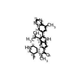 Cc1cc(-c2[nH]c3cc(C(=O)N(C)[C@H]4CCNC[C@@H]4F)sc3c2C(C)C)cn2ncnc12